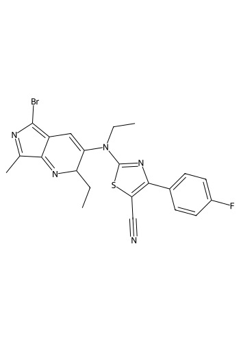 CCC1N=C2C(C)=NC(Br)=C2C=C1N(CC)c1nc(-c2ccc(F)cc2)c(C#N)s1